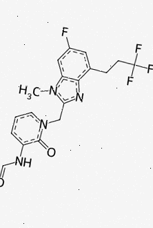 Cn1c(Cn2cccc(NC=O)c2=O)nc2c(CCC(F)(F)F)cc(F)cc21